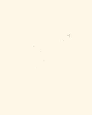 COC(=O)CCc1cc(OC)c(OCc2ccccc2)cc1Cl